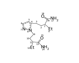 CCC(CCc1ccnn1CCC(CC)C(N)=O)C(N)=O